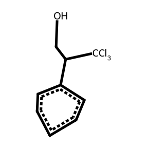 OCC(c1ccccc1)C(Cl)(Cl)Cl